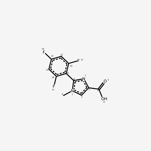 Cn1cc(C(=O)O)nc1-c1c(F)cc(F)cc1F